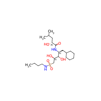 CCCCNS(=O)(=O)C[C@@H](O)C(O)[C@H](CC1CCCCC1)NC(=O)[C@H](O)CC(C)C